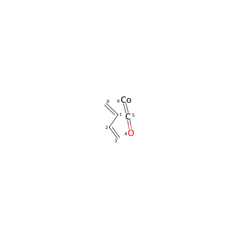 C=CC=C.O=[C]=[Co]